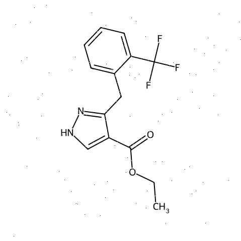 CCOC(=O)c1c[nH]nc1Cc1ccccc1C(F)(F)F